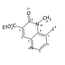 CCOC(=O)c1cc2nccc(I)c2n(C)c1=O